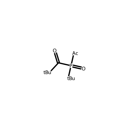 CC(=O)P(=O)(C(=O)C(C)(C)C)C(C)(C)C